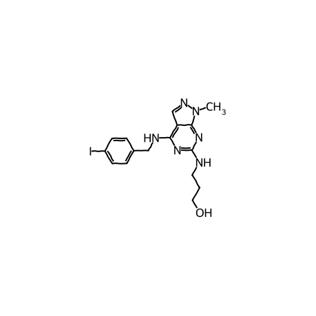 Cn1ncc2c(NCc3ccc(I)cc3)nc(NCCCO)nc21